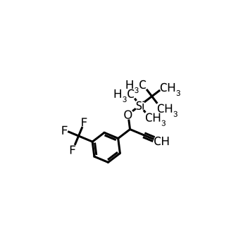 C#CC(O[Si](C)(C)C(C)(C)C)c1cccc(C(F)(F)F)c1